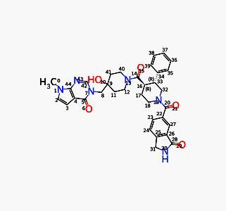 Cn1ccc2c(=O)n(CC3(O)CCN(C(=O)[C@@H]4CCN(C(=O)c5ccc6c(c5)C(=O)NC6)C[C@H]4c4ccccc4)CC3)cnc21